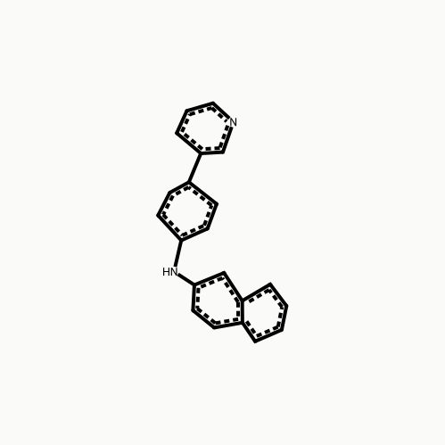 c1cncc(-c2ccc(Nc3ccc4ccccc4c3)cc2)c1